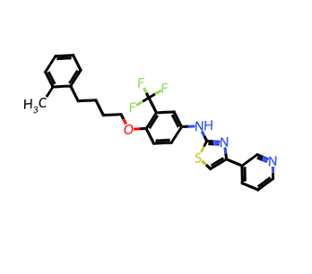 Cc1ccccc1CCCCOc1ccc(Nc2nc(-c3cccnc3)cs2)cc1C(F)(F)F